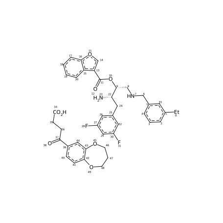 CCc1cccc(CNC[C@@H](OC(=O)c2coc3ccccc23)[C@@H](N)Cc2cc(F)cc(F)c2)c1.O=C(O)CCC(=O)c1ccc2c(c1)OCCCO2